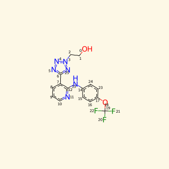 OCCn1nnc(-c2cccnc2Nc2ccc(OC(F)(F)F)cc2)n1